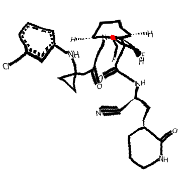 N#C[C@H](C[C@@H]1CCCNC1=O)NC(=O)[C@H]1[C@@H]2CC[C@@H](CC2(F)F)N1C(=O)C1(Nc2cccc(Cl)c2)CC1